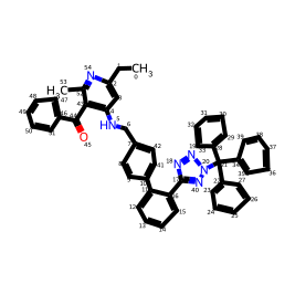 CCc1cc(NCc2ccc(-c3ccccc3-c3nnn(C(c4ccccc4)(c4ccccc4)c4ccccc4)n3)cc2)c(C(=O)c2ccccc2)c(C)n1